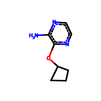 Nc1nccnc1OC1CCC1